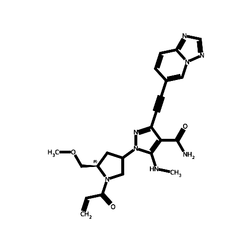 C=CC(=O)N1CC(n2nc(C#Cc3ccc4ncnn4c3)c(C(N)=O)c2NC)C[C@@H]1COC